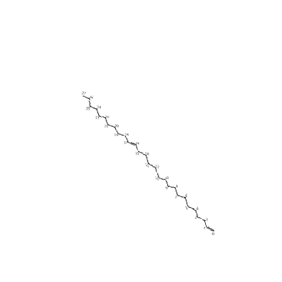 C=CCCCCCCCCCCCCCCC=CCCCCCCCCCC